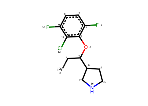 CC(C)CC(Oc1c(F)ccc(F)c1Cl)C1CCNC1